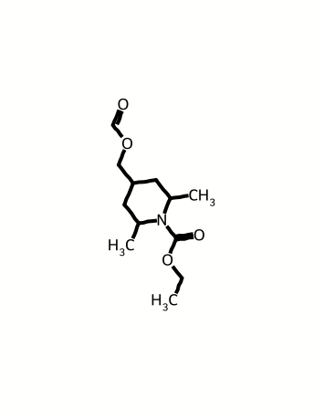 CCOC(=O)N1C(C)CC(COC=O)CC1C